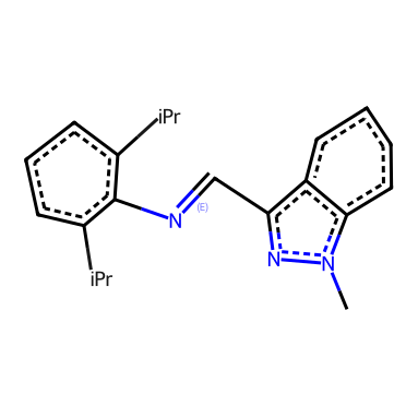 CC(C)c1cccc(C(C)C)c1/N=C/c1nn(C)c2ccccc12